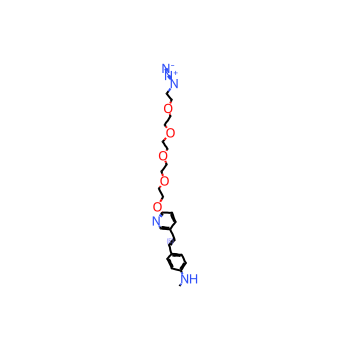 CNc1ccc(/C=C/c2ccc(OCCOCCOCCOCCOCCN=[N+]=[N-])nc2)cc1